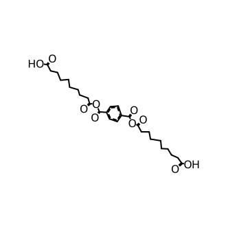 O=C(O)CCCCCCCCC(=O)OC(=O)c1ccc(C(=O)OC(=O)CCCCCCCCC(=O)O)cc1